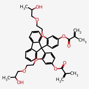 C=C(C)C(=O)Oc1ccc(C2(c3ccc(OC(=O)C(=C)C)cc3OCCOCC(C)O)c3ccccc3-c3ccccc32)c(OCCOCC(C)O)c1